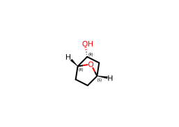 O[C@@H]1C[C@@H]2CC[C@H]1O2